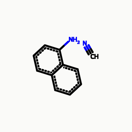 C#N.Nc1cccc2ccccc12